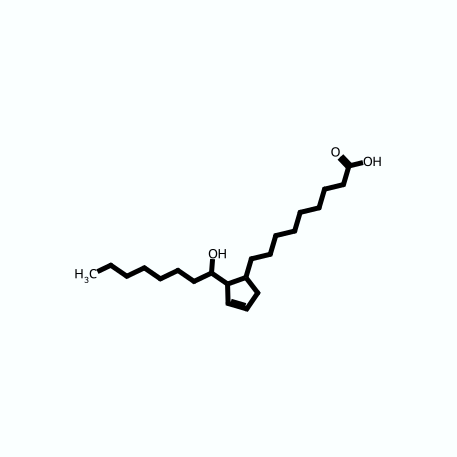 CCCCCCCC(O)C1C=CCC1CCCCCCCCC(=O)O